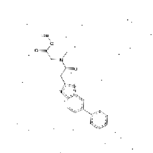 CN(CC(=O)OC(C)(C)C)C(=O)Cc1nc2ccc(-c3ccccc3)cc2s1